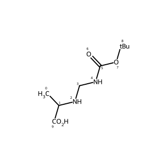 CC(NCNC(=O)OC(C)(C)C)C(=O)O